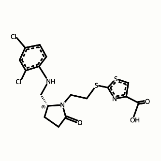 O=C(O)c1csc(SCCN2C(=O)CC[C@@H]2CNc2ccc(Cl)cc2Cl)n1